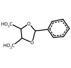 O=C(O)C1OC(c2ccccc2)OC1C(=O)O